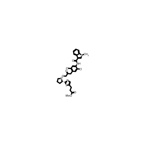 COC(=O)CCc1cnc([C@@H]2CCCN2OCC(=O)Cc2cc(Cl)c(NC(=O)c3cn(C)c4ccccc34)cc2Cl)s1